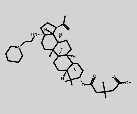 C=C(C)[C@@H]1CC[C@]2(NCCN3CCCCC3)CC[C@]3(C)[C@H](CC[C@@H]4[C@@]5(C)CC[C@H](OC(=O)CC(C)(C)CC(=O)O)C(C)(C)[C@@H]5CC[C@]43C)[C@@H]12